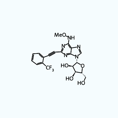 CONc1nc(C#Cc2ccccc2C(F)(F)F)nc2c1ncn2[C@@H]1O[C@H](CO)[C@@H](O)[C@H]1O